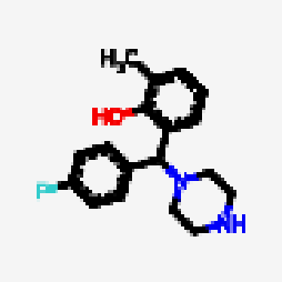 Cc1cccc(C(c2ccc(F)cc2)N2CCNCC2)c1O